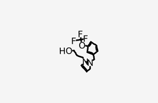 OCCCN1C=CCN1Cc1cccc(OC(F)(F)F)c1